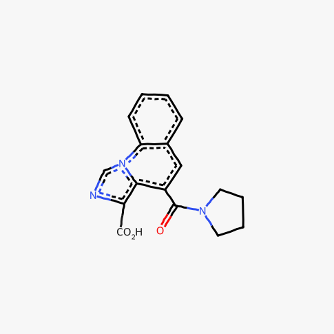 O=C(O)c1ncn2c1c(C(=O)N1CCCC1)cc1ccccc12